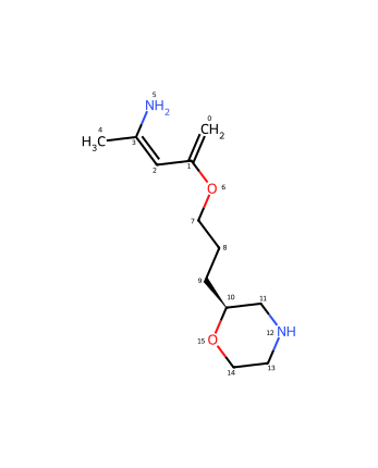 C=C(/C=C(/C)N)OCCC[C@H]1CNCCO1